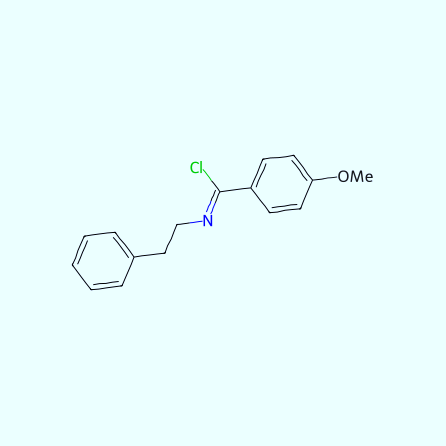 COc1ccc(/C(Cl)=N/CCc2ccccc2)cc1